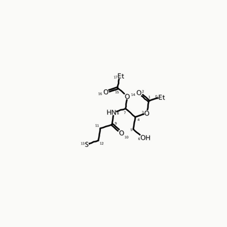 CCC(=O)OC(CO)C(NC(=O)CC[S])OC(=O)CC